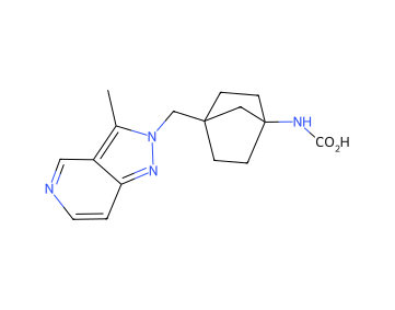 Cc1c2cnccc2nn1CC12CCC(NC(=O)O)(CC1)C2